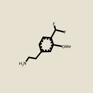 COc1cc(CCN)ccc1C(F)F